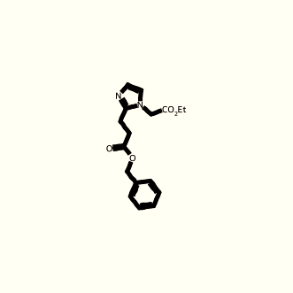 CCOC(=O)Cn1ccnc1CCC(=O)OCc1ccccc1